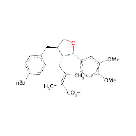 CCCCc1ccc(C[C@H]2CO[C@H](c3ccc(OC)c(OC)c3)[C@@H]2CC(C)=C(C)C(=O)O)cc1